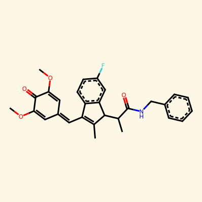 COC1=CC(=CC2=C(C)C(C(C)C(=O)NCc3ccccc3)c3cc(F)ccc32)C=C(OC)C1=O